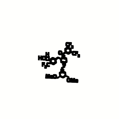 COC[C@@H]1C[C@H](COC)CN(CCN2CCN(C(=O)c3cc(C(F)(F)F)cc(C(F)(F)F)c3)[C@H](Cc3ccc(C(F)(F)F)cc3)C2)C1.Cl.Cl